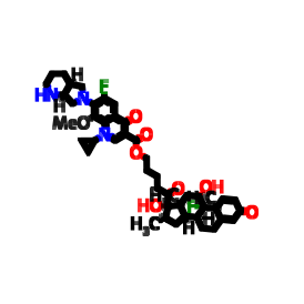 COc1c(N2C[C@H]3CCCN[C@H]3C2)c(F)cc2c(=O)c(C(=O)OCCC[CH]C(=O)[C@@]3(O)[C@H](C)C[C@H]4[C@@H]5CCC6=CC(=O)C=C[C@]6(C)[C@@]5(F)[C@@H](O)C[C@@]43C)cn(C3CC3)c12